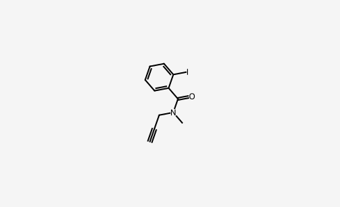 C#CCN(C)C(=O)c1ccccc1I